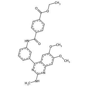 CCOC(=O)c1ccc(C(=O)Nc2cccc(-c3nc(NC)nc4cc(OC)c(OC)cc34)c2)cc1